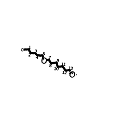 CCCCCCOCCCCCCC[O]